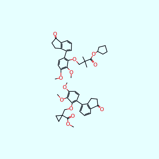 COC(=O)C1(COc2c(-c3cccc4c3CCC4=O)ccc(OC)c2OC)CC1.COc1ccc(-c2cccc3c2CCC3=O)c(OCC(C)(C)C(=O)OC2CCCC2)c1OC